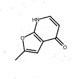 Cc1cc2c(=O)cc[nH]c2o1